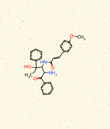 CCC(O)(c1ccccc1)C(NC(=O)C=Cc1ccc(OC)cc1)C(N)C(=O)c1ccccc1